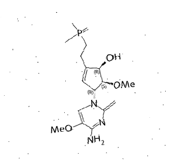 C=C1N=C(N)C(OC)=CN1[C@@H]1C=C(CCP(=C)(C)C)[C@@H](O)[C@H]1OC